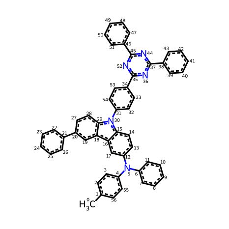 Cc1ccc(N(c2ccccc2)c2ccc3c(c2)c2cc(-c4ccccc4)ccc2n3-c2ccc(-c3nc(-c4ccccc4)nc(-c4ccccc4)n3)cc2)cc1